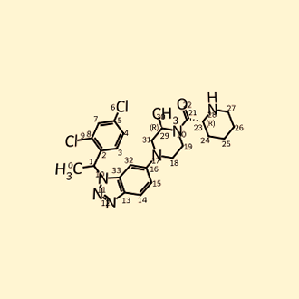 CC(c1ccc(Cl)cc1Cl)n1nnc2ccc(N3CCN(C(=O)[C@H]4CCCCN4)[C@H](C)C3)cc21